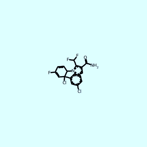 NC(=O)c1cnn(C2C=CC(F)=CC2(Cl)c2cccc(Cl)c2)c1C(F)F